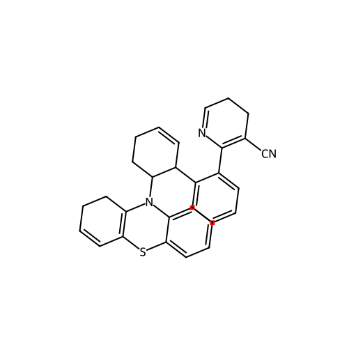 N#CC1=C(c2ccccc2C2C=CCCC2N2C3=C(C=CCC3)Sc3ccccc32)N=CCC1